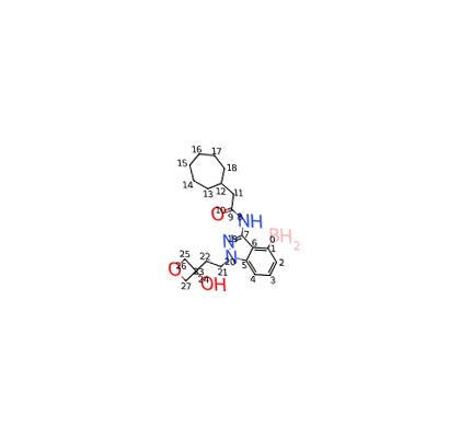 Bc1cccc2c1c(NC(=O)CC1CCCCCC1)nn2CCC1(O)COC1